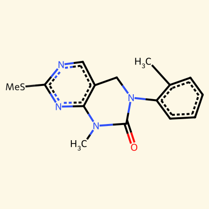 CSc1ncc2c(n1)N(C)C(=O)N(c1ccccc1C)C2